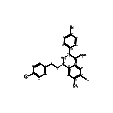 CNC(=O)[C@H](N[C@@H](CCc1ccc(C(F)(F)F)nc1)c1ccc(F)c(C)c1)c1ccc(C#N)cc1